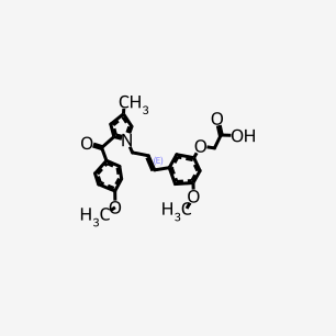 COc1ccc(C(=O)c2cc(C)cn2C/C=C/c2cc(OC)cc(OCC(=O)O)c2)cc1